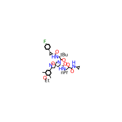 CCC[C@H](NC(=O)[C@@H]1C[C@]2(CC(c3cc(C)c(OCC)c(C)c3)=NO2)CN1C(=O)[C@@H](NC(=O)[C@@H]1C[C@H]1c1ccc(F)cc1)C(C)(C)C)C(=O)C(=O)NC1CC1